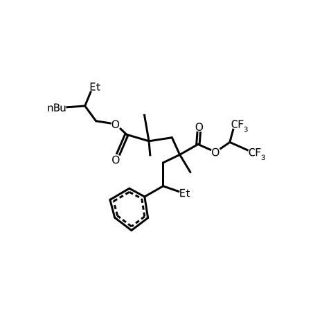 CCCCC(CC)COC(=O)C(C)(C)CC(C)(CC(CC)c1ccccc1)C(=O)OC(C(F)(F)F)C(F)(F)F